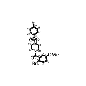 COc1ccc(Br)c(C(=O)N2CCN(S(=O)(=O)c3ccc(F)cc3)CC2)c1